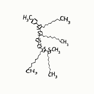 CCCCCCCCCCc1cc(C)sc1-c1cc(CCCCCCCCCC)c(-c2ccc(-c3ccc(-c4sc(-c5sc(-c6ccc(C)cc6)cc5CCCCCCCCCC)cc4CCCCCCCCCC)s3)s2)s1